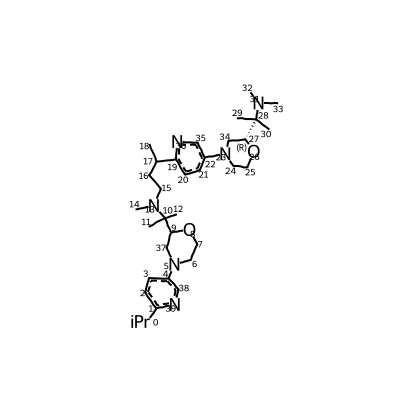 CC(C)c1ccc(N2CCOC(C(C)(C)N(C)CCC(C)c3ccc(N4CCO[C@@H](C(C)(C)N(C)C)C4)cn3)C2)cn1